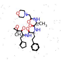 C[C@H](NC(=O)CN1CCOCC1)C(=O)N[C@@H](CCc1ccccc1)C(=O)N[C@@H](CC1=CCCC1)C(=O)[C@]1(C)CO1